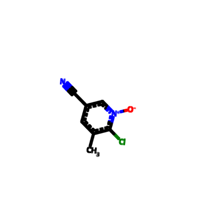 Cc1cc(C#N)c[n+]([O-])c1Cl